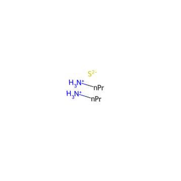 CCC[NH3+].CCC[NH3+].[S-2]